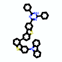 c1ccc(C2=NC(c3ccc4c(c3)sc3ccc(-c5cccc6sc7ccc(-n8c9ccccc9c9ccccc98)cc7c56)cc34)=NC(c3ccccc3)N2)cc1